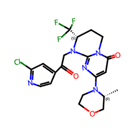 C[C@@H]1COCCN1c1cc(=O)n2c(n1)N(CC(=O)c1ccnc(Cl)c1)[C@H](C(F)(F)F)CC2